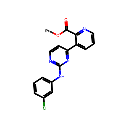 CC(C)OC(=O)c1ncccc1-c1ccnc(Nc2cccc(Cl)c2)n1